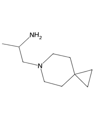 CC(N)CN1CCC2(CC1)CC2